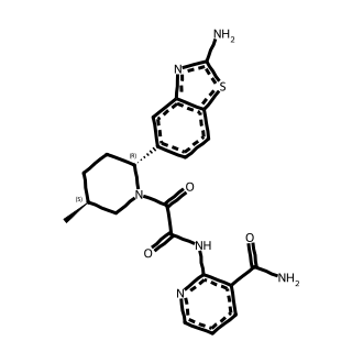 C[C@H]1CC[C@H](c2ccc3sc(N)nc3c2)N(C(=O)C(=O)Nc2ncccc2C(N)=O)C1